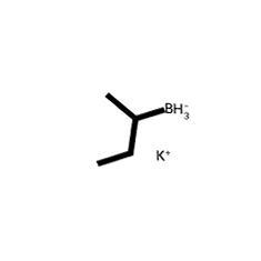 [BH3-]C(C)CC.[K+]